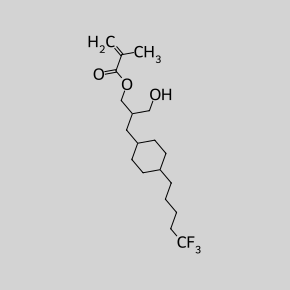 C=C(C)C(=O)OCC(CO)CC1CCC(CCCCC(F)(F)F)CC1